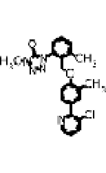 Cc1cc(-c2ncccc2Cl)ccc1OCc1c(C)cccc1-n1nnn(C)c1=O